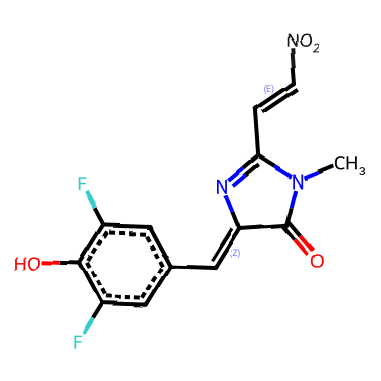 CN1C(=O)/C(=C/c2cc(F)c(O)c(F)c2)N=C1/C=C/[N+](=O)[O-]